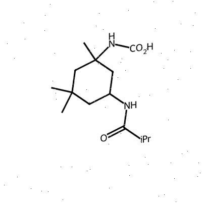 CC(C)C(=O)NC1CC(C)(C)CC(C)(NC(=O)O)C1